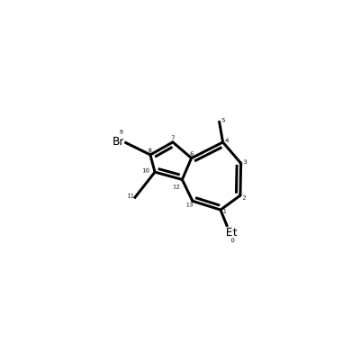 CCc1ccc(C)c2cc(Br)c(C)c-2c1